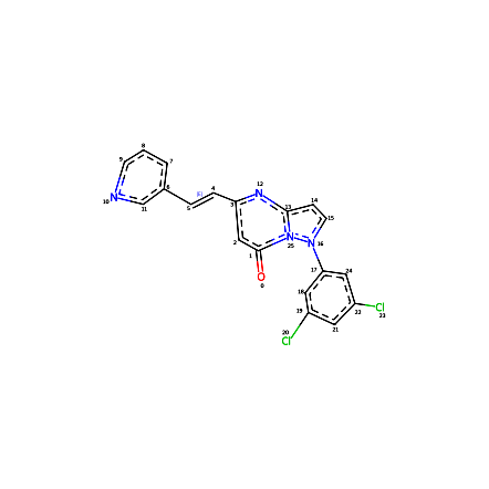 O=c1cc(/C=C/c2cccnc2)nc2ccn(-c3cc(Cl)cc(Cl)c3)n12